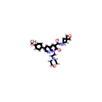 COc1ccc(-c2cnc3c(c2)cc(C(=O)NC2CC4(COC4)C2)c(=O)n3CCN2CCOCC2)cc1